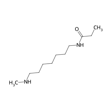 CCC(=O)NCCCCCCCNC